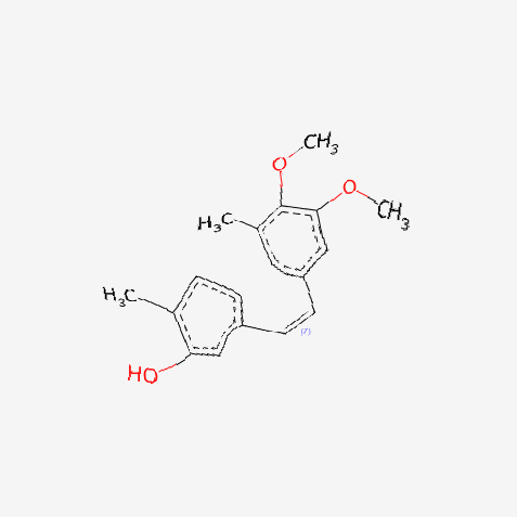 COc1cc(/C=C\c2ccc(C)c(O)c2)cc(C)c1OC